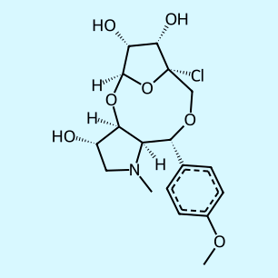 COc1ccc([C@H]2OC[C@@]3(Cl)O[C@@H](O[C@H]4[C@@H]2N(C)C[C@@H]4O)[C@H](O)[C@@H]3O)cc1